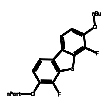 CCCCCOc1ccc2c(sc3c(F)c(OCCCC)ccc32)c1F